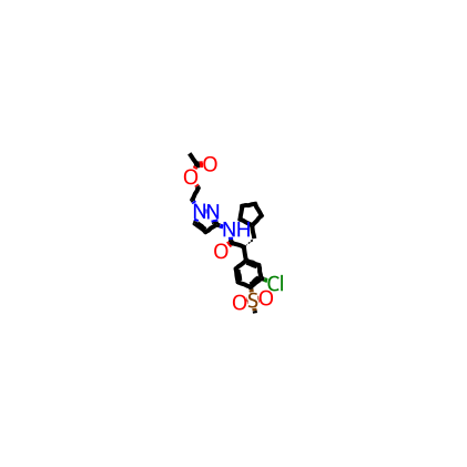 CC(=O)OCCn1ccc(NC(=O)[C@H](CC2CCCC2)c2ccc(S(C)(=O)=O)c(Cl)c2)n1